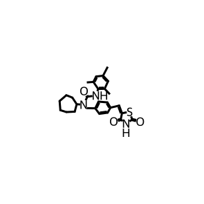 Cc1cc(C)c(NC(=O)N(Cc2ccc(C=C3SC(=O)NC3=O)cc2)C2CCCCCC2)c(C)c1